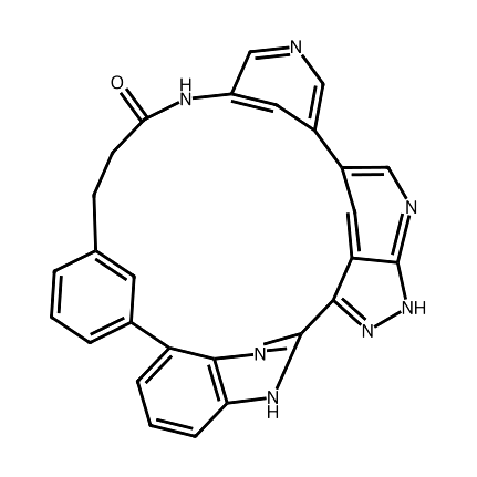 O=C1CCc2cccc(c2)-c2cccc3[nH]c(nc23)-c2n[nH]c3ncc(cc23)-c2cncc(c2)N1